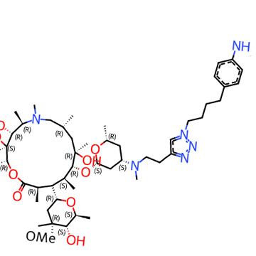 CC[C@H]1OC(=O)[C@H](C)C([C@H]2C[C@@](C)(OC)[C@@H](O)[C@H](C)O2)[C@H](C)[C@@H](O[C@H]2C[C@@H](N(C)CCc3cn(CCCCc4ccc(N)cc4)nn3)C[C@@H](C)O2)[C@](C)(O)C[C@@H](C)CN(C)[C@H](C)[C@@H](O)[C@]1(C)O